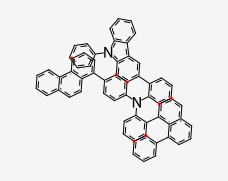 c1ccc(-c2cccc3cccc(-c4ccccc4N(c4ccc(-c5cccc6c5ccc5ccccc56)cc4)c4ccccc4-c4ccc5c(c4)c4ccccc4n5-c4ccccc4)c23)cc1